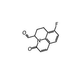 O=CC1CCc2c(F)ccc3ccc(=O)n1c23